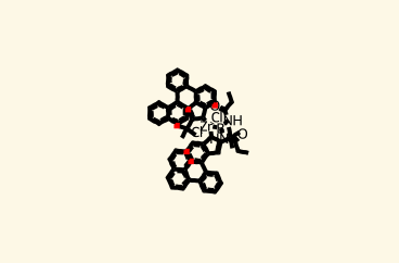 CCC(=O)N[B](NC(=O)CC)[Zr]([Cl])([Cl])([CH]1C(C(C)(C)C)=Cc2c(-c3ccccc3-c3cccc4ccccc34)cccc21)[CH]1C(C(C)(C)C)=Cc2c(-c3ccccc3-c3cccc4ccccc34)cccc21